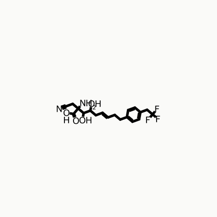 N#CCC(N)(C(=O)O)C(O)C(O)C/C=C/CCc1ccc(CC(F)(F)F)cc1